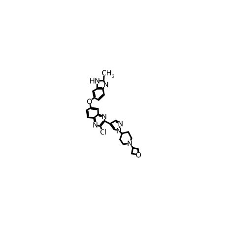 Cc1nc2ccc(Oc3ccc4nc(Cl)c(-c5cnn(C6CCN(C7COC7)CC6)c5)nc4c3)cc2[nH]1